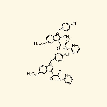 COc1ccc2c(c1)c(C(=O)C(=O)Nc1cnccn1)cn2Cc1ccc(Cl)cc1.COc1ccc2c(c1)c(C(=O)C(=O)Nc1ncccn1)c(C)n2Cc1ccc(Cl)cc1